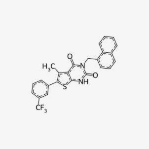 Cc1c(-c2cccc(C(F)(F)F)c2)sc2[nH]c(=O)n(Cc3cccc4ccccc34)c(=O)c12